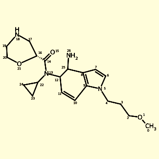 COCCCn1ccc2c1C=CC(N(C(=O)[C@H]1CNCCO1)C1CC1)C2N